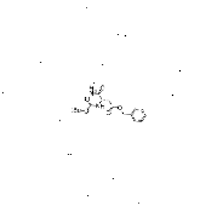 CC(C)(C)OC(=O)N[C@@H](CC(=O)OCc1ccccc1)C(N)=O